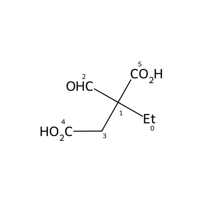 CCC(C=O)(CC(=O)O)C(=O)O